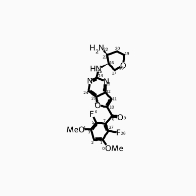 COc1cc(OC)c(F)c(C(=O)c2cc3nc(N[C@@H]4COCC[C@@H]4N)ncc3o2)c1F